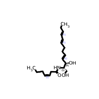 CC/C=C/C=C/CC/C=C/[C@@H](O)[C@H](CO)NC(=O)C/C=C\CCC